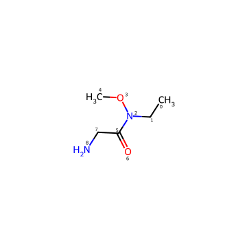 CCN(OC)C(=O)CN